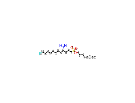 CCCCCCCCCCCCCCOS(=O)(=O)CCCCCCCCCCCCF.N